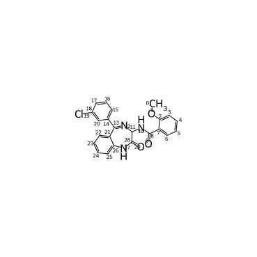 COc1ccccc1C(=O)NC1N=C(c2cccc(Cl)c2)c2ccccc2NC1=O